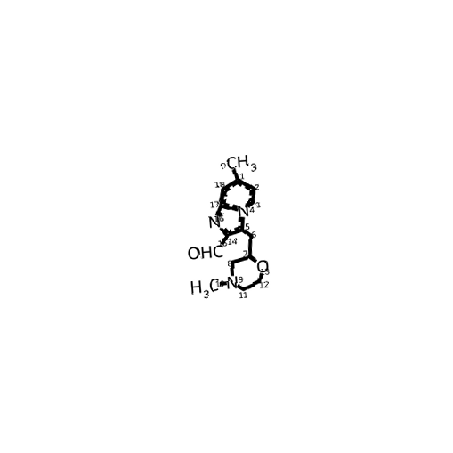 Cc1ccn2c(CC3CN(C)CCO3)c(C=O)nc2c1